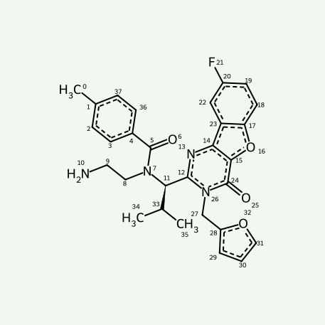 Cc1ccc(C(=O)N(CCN)[C@@H](c2nc3c(oc4ccc(F)cc43)c(=O)n2Cc2ccco2)C(C)C)cc1